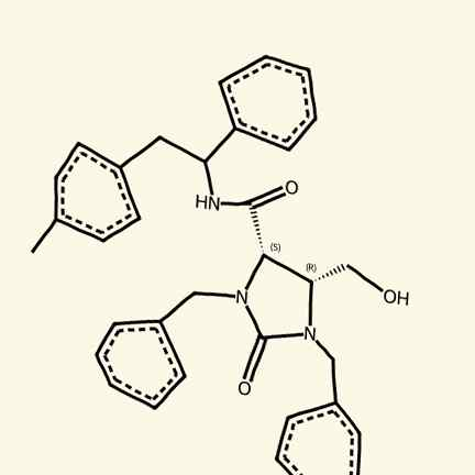 Cc1ccc(CC(NC(=O)[C@@H]2[C@H](CO)N(Cc3ccccc3)C(=O)N2Cc2ccccc2)c2ccccc2)cc1